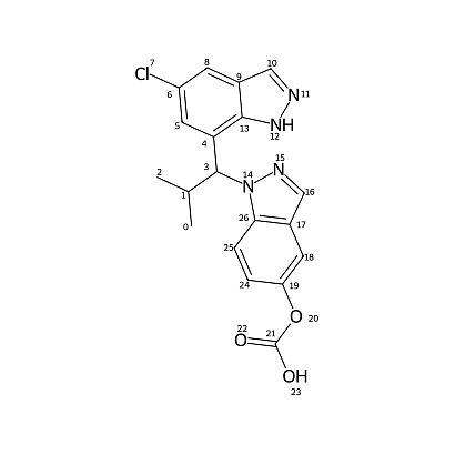 CC(C)C(c1cc(Cl)cc2cn[nH]c12)n1ncc2cc(OC(=O)O)ccc21